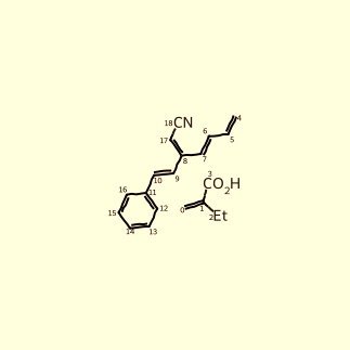 C=C(CC)C(=O)O.C=CC=CC(C=Cc1ccccc1)=CC#N